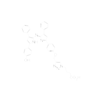 O=C(O)CCCn1cc(COc2ccc(C3=N/C(=N\c4[nH]c(-c5ccc(O)cc5)cc4-c4ccccc4)C(c4ccccc4)=C3)cc2)nn1